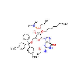 CCCCCCCCCCCCCCCCO[C@@H]1[C@H](OP(OCCC#N)N(C(C)C)C(C)C)C(COC(c2ccccc2)(c2ccc(OC)cc2)c2ccc(OC)cc2)O[C@H]1n1cnc2c(=O)[nH]c(NC(=O)C(C)C)nc21